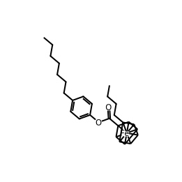 CCCCCCCc1ccc(OC(=O)[C]23[CH]4[CH]5[CH]6[CH]2[Fe]56432789[CH]3[CH]2[CH]7[C]8(CCCC)[CH]39)cc1